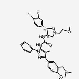 COCCN1C[C@@H](NC(=O)Nc2c(C)c(-c3cnc(OC)c(CN(C)C)c3)nn2-c2ccccc2)[C@H](c2ccc(F)c(F)c2)O1